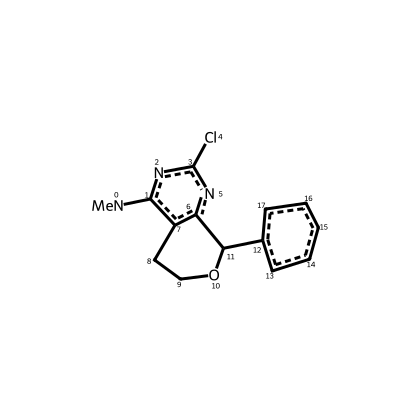 CNc1nc(Cl)nc2c1CCOC2c1ccccc1